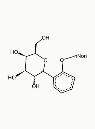 CCCCCCCCCOc1ccccc1[C]1O[C@H](CO)[C@H](O)[C@H](O)[C@H]1O